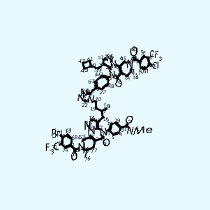 CNC(=O)c1ccc(-n2c(=O)c3c(n4ncc(CC(C)CCn5cnnc5-c5ccc(-n6c(=O)c7c(n8ncc(CC9CCC9)c68)CN(C(=O)c6ccc(Cl)c(C(F)(F)F)c6)[C@H](C)C7)cc5)c24)CN(C(=O)c2ccc(Br)c(C(F)(F)F)c2)[C@H](C)C3)cc1